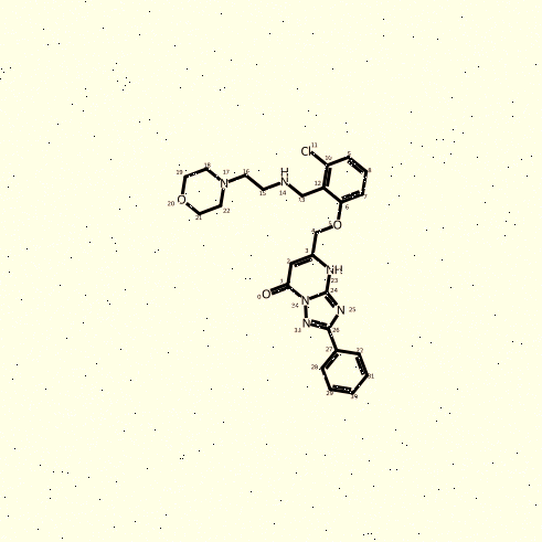 O=c1cc(COc2cccc(Cl)c2CNCCN2CCOCC2)[nH]c2nc(-c3ccccc3)nn12